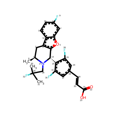 C[C@H]1Cc2c(oc3cc(F)ccc23)[C@H](c2c(F)cc(/C=C/C(=O)O)cc2F)N1CC(C)(C)F